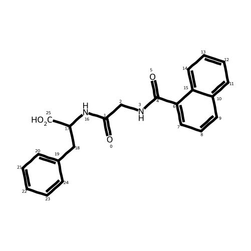 O=C(CNC(=O)c1cccc2ccccc12)NC(Cc1ccccc1)C(=O)O